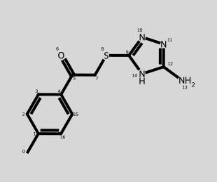 Cc1ccc(C(=O)CSc2nnc(N)[nH]2)cc1